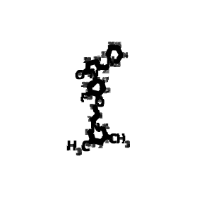 CC1CC(C)CN(CCCOc2ccc(N3C(=O)CCC3CN3CCCCC3)cc2F)C1